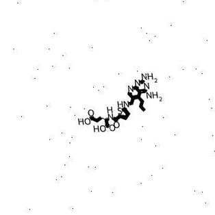 CCCc1c(CNc2ccc(C(=O)N[C@@H](CCC(=O)O)C(=O)O)s2)cnc2nc(N)nc(N)c12